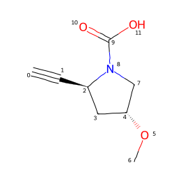 C#C[C@@H]1C[C@@H](OC)CN1C(=O)O